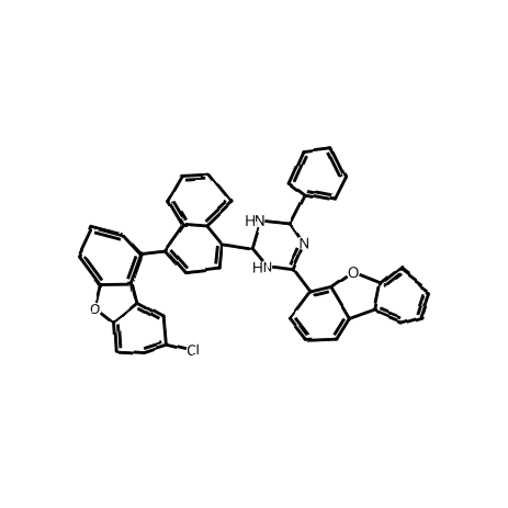 Clc1ccc2oc3cccc(-c4ccc(C5NC(c6cccc7c6oc6ccccc67)=NC(c6ccccc6)N5)c5ccccc45)c3c2c1